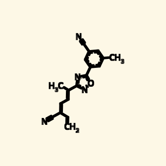 C=C/C(C#N)=C\C=C(/C)c1noc(-c2cc(C)cc(C#N)c2)n1